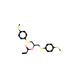 C=CC(=O)OC(CSc1ccc(SC)cc1)CSc1ccc(SC)cc1